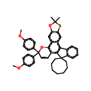 COc1ccc(C2(c3ccc(OC)cc3)C=Cc3c4c(c5cc6c(cc5c3O2)OC(C)(C)S6)-c2ccccc2C42CCCCCCC2)cc1